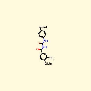 CCCCCc1ccc(NC(=S)NC(=O)c2ccc(OC)c(C(F)(F)F)c2)cc1